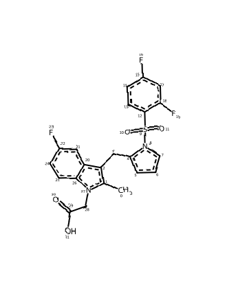 Cc1c(Cc2cccn2S(=O)(=O)c2ccc(F)cc2F)c2cc(F)ccc2n1CC(=O)O